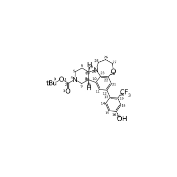 CC(C)(C)OC(=O)N1CC[C@H]2[C@@H](C1)c1cc(-c3ccc(O)cc3C(F)(F)F)cc3c1N2CCCO3